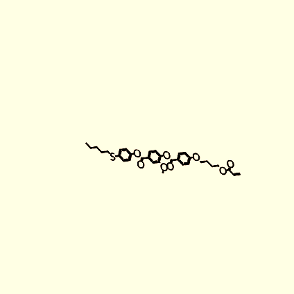 C=CC(=O)OCCCCOc1ccc(C(=O)Oc2ccc(C(=O)Oc3ccc(SCCCCC)cc3)cc2OC)cc1